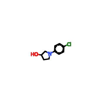 OC1CCN(c2ccc(Cl)cc2)C1